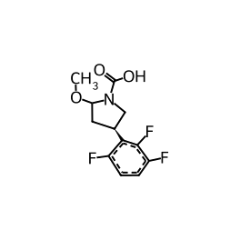 COC1C[C@H](c2c(F)ccc(F)c2F)CN1C(=O)O